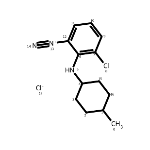 CC1CCC(Nc2c(Cl)cccc2[N+]#N)CC1.[Cl-]